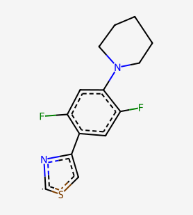 Fc1cc(N2CCCCC2)c(F)cc1-c1cs[c]n1